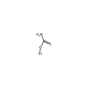 [CH2]COC(N)=S